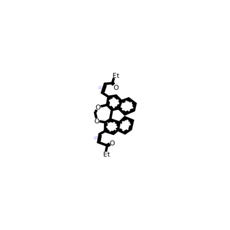 CCC(=O)/C=C\c1cc2ccccc2c2c1OCOc1c(/C=C\C(=O)CC)cc3ccccc3c1-2